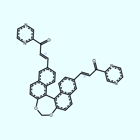 O=C(/C=C/c1ccc2c3c(ccc2c1)OCOc1ccc2cc(/C=C/C(=O)c4cnccn4)ccc2c1-3)c1cnccn1